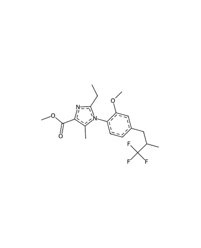 CCc1nc(C(=O)OC)c(C)n1-c1ccc(CC(C)C(F)(F)F)cc1OC